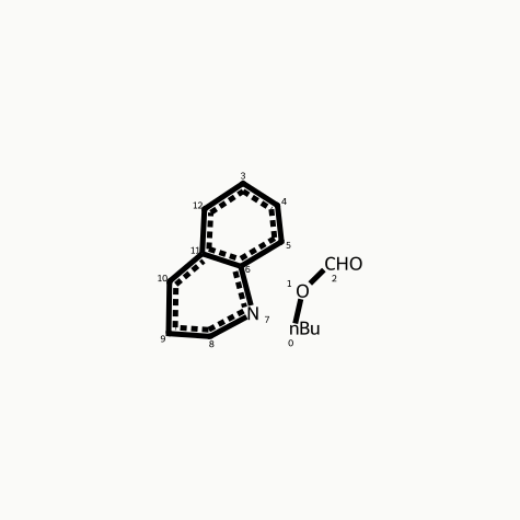 CCCCOC=O.c1ccc2ncccc2c1